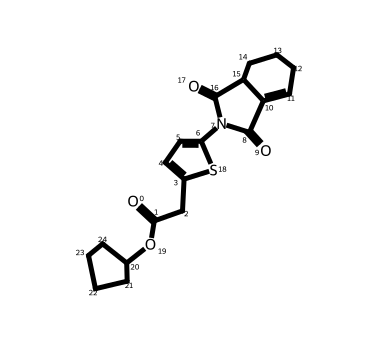 O=C(Cc1ccc(N2C(=O)C3=CCCCC3C2=O)s1)OC1CCCC1